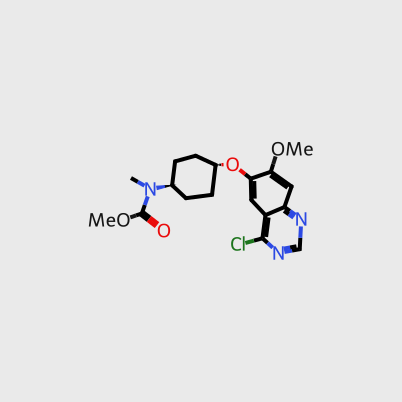 COC(=O)N(C)[C@H]1CC[C@H](Oc2cc3c(Cl)ncnc3cc2OC)CC1